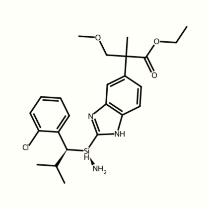 CCOC(=O)C(C)(COC)c1ccc2[nH]c([Si@@H](N)[C@H](c3ccccc3Cl)C(C)C)nc2c1